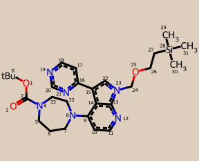 CC(C)(C)OC(=O)N1CCCN(c2ccnc3c2c(-c2ccncn2)cn3COCC[Si](C)(C)C)CC1